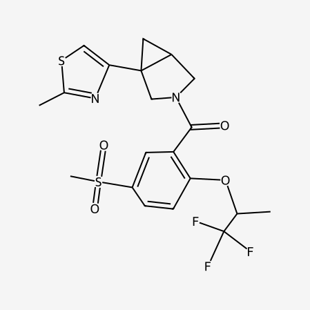 Cc1nc(C23CC2CN(C(=O)c2cc(S(C)(=O)=O)ccc2OC(C)C(F)(F)F)C3)cs1